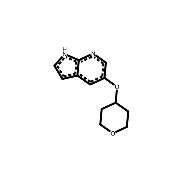 c1cc2cc(OC3CCOCC3)cnc2[nH]1